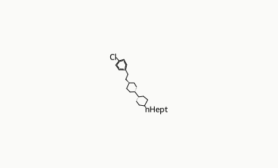 CCCCCCC[C@H]1CC[C@H]([C@H]2CC[C@H](CCc3ccc(Cl)cc3)CC2)CC1